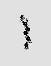 Cc1c(-c2nc3cc(CN(C)C)c(OCc4ccc(S(C)(=O)=O)cc4)cc3o2)cccc1-c1cccc(-c2nc3cc(COC(=O)[C@@H]4CCCN4)c(OC(F)F)cc3o2)c1C